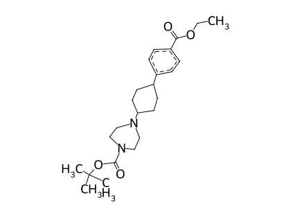 CCOC(=O)c1ccc(C2CCC(N3CCN(C(=O)OC(C)(C)C)CC3)CC2)cc1